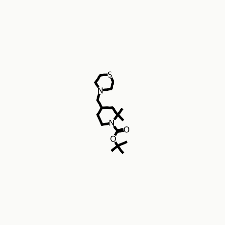 CC(C)(C)OC(=O)N1CCC(CN2CCSCC2)CC1(C)C